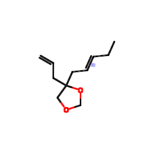 C=CCC1(C/C=C/CC)COCO1